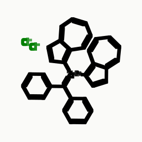 [Cl-].[Cl-].c1ccc([C](c2ccccc2)=[Zr+2]([c]2ccc3cccccc2-3)[c]2ccc3cccccc2-3)cc1